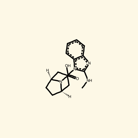 CNc1nc2ccccc2n1C1C[C@H]2CC[C@@H](C1)N2C(=O)O